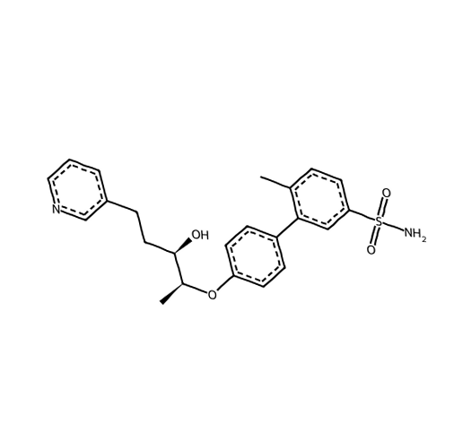 Cc1ccc(S(N)(=O)=O)cc1-c1ccc(O[C@@H](C)[C@H](O)CCc2cccnc2)cc1